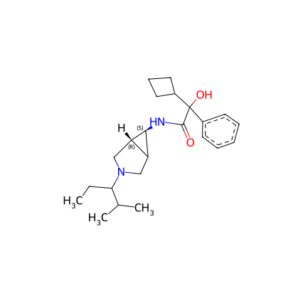 CCC(C(C)C)N1CC2[C@H](C1)[C@H]2NC(=O)C(O)(c1ccccc1)C1CCC1